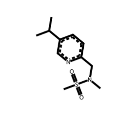 CC(C)c1ccc(CN(C)S(C)(=O)=O)nc1